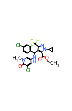 CCOC(=O)c1c(C(Nc2cc(Cl)c(=O)n(C)c2)c2ccc(Cl)cc2)c(C(F)(F)F)nn1C1CC1